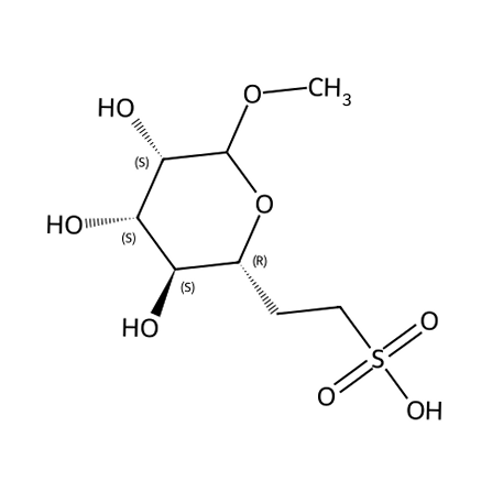 COC1O[C@H](CCS(=O)(=O)O)[C@@H](O)[C@H](O)[C@@H]1O